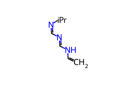 C=CN/C=N/C=N\C(C)C